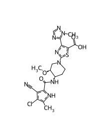 CO[C@H]1CN(c2nc(-c3ncnn3C)c(C(=O)O)s2)CC[C@H]1NC(=O)c1[nH]c(C)c(Cl)c1C#N